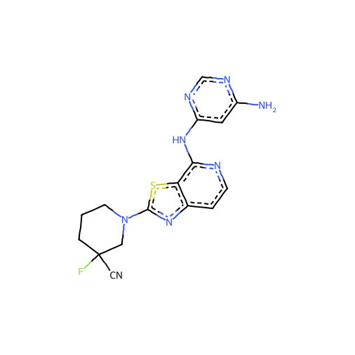 N#CC1(F)CCCN(c2nc3ccnc(Nc4cc(N)ncn4)c3s2)C1